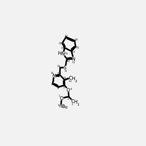 CCCCOC(C)Oc1ccnc(CSc2nc3ccccc3[nH]2)c1C